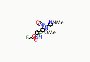 CNc1ccc(-c2nc(N3CCOCC3)c3cc(-c4cccc(NS(=O)(=O)CCCF)c4F)cc(OC)c3n2)cn1